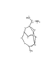 N[C@@H](O)C12CC3CCC(O)C(C1)C(C3)C2